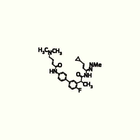 CN/N=C(\C=C\C1CC1)NC(=O)C(C)c1cc(-c2ccc(NC(=O)/C=C/CN(C)C)cc2)ccc1F